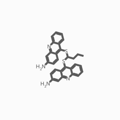 CCCC(Sc1c2ccccc2nc2cc(N)ccc12)Sc1c2ccccc2nc2cc(N)ccc12